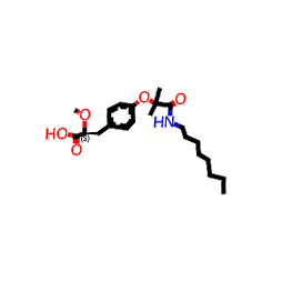 CCCCCCCCNC(=O)C(C)(C)Oc1ccc(C[C@H](OC)C(=O)O)cc1